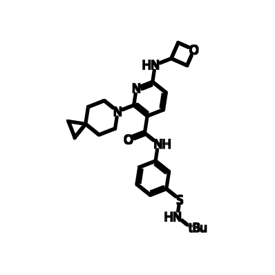 CC(C)(C)NSc1cccc(NC(=O)c2ccc(NC3COC3)nc2N2CCC3(CC2)CC3)c1